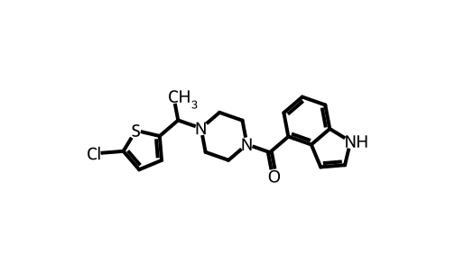 CC(c1ccc(Cl)s1)N1CCN(C(=O)c2cccc3[nH]ccc23)CC1